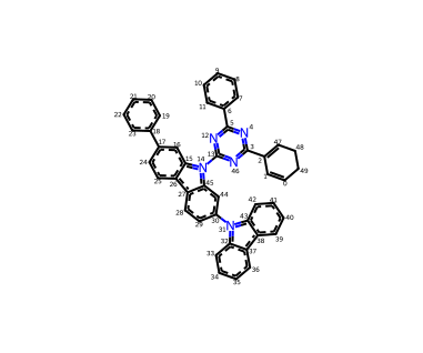 C1=CC(c2nc(-c3ccccc3)nc(-n3c4cc(-c5ccccc5)ccc4c4ccc(-n5c6ccccc6c6ccccc65)cc43)n2)=CCC1